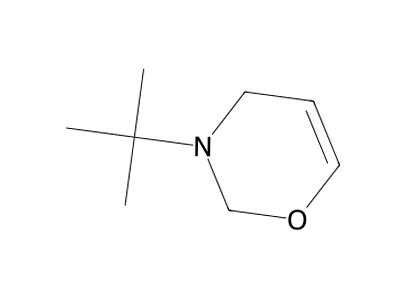 CC(C)(C)N1CC=COC1